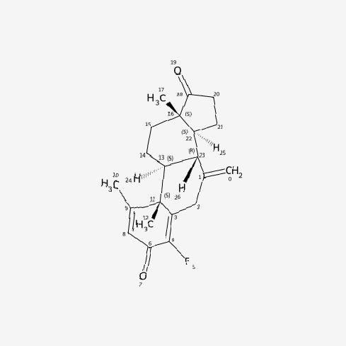 C=C1CC2=C(F)C(=O)C=C(C)[C@]2(C)[C@H]2CC[C@]3(C)C(=O)CC[C@H]3[C@H]12